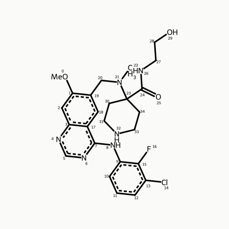 COc1cc2ncnc(Nc3cccc(Cl)c3F)c2cc1CN(C)C1(C(=O)NCCO)CCNCC1